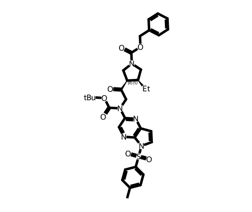 CC[C@@H]1CN(C(=O)OCc2ccccc2)C[C@@H]1C(=O)CN(C(=O)OC(C)(C)C)c1cnc2c(ccn2S(=O)(=O)c2ccc(C)cc2)n1